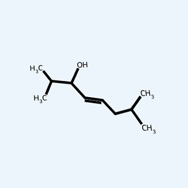 CC(C)CC=CC(O)C(C)C